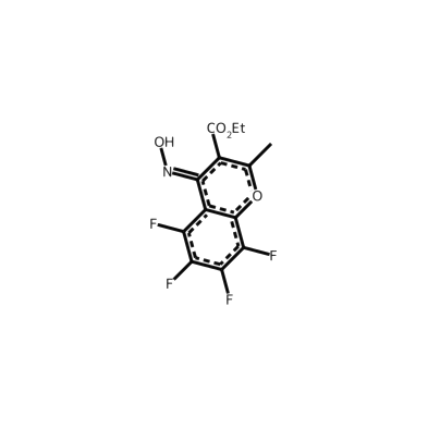 CCOC(=O)c1c(C)oc2c(F)c(F)c(F)c(F)c2c1=NO